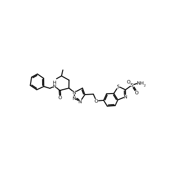 CC(C)CC(C(=O)NCc1ccccc1)n1cc(COc2ccc3nc(S(N)(=O)=O)sc3c2)nn1